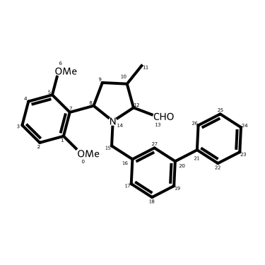 COc1cccc(OC)c1C1CC(C)C(C=O)N1Cc1cccc(-c2ccccc2)c1